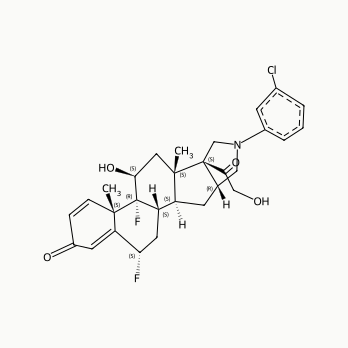 C[C@]12C=CC(=O)C=C1[C@@H](F)C[C@H]1[C@@H]3C[C@H]4CN(c5cccc(Cl)c5)C[C@@]4(C(=O)CO)[C@@]3(C)C[C@H](O)[C@@]12F